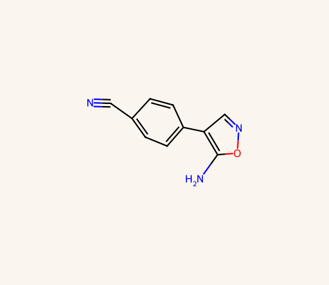 N#Cc1ccc(-c2cnoc2N)cc1